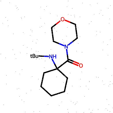 CC(C)(C)NC1(C(=O)N2CCOCC2)CCCCC1